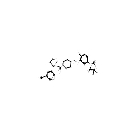 CC1(C)OC(=O)N(c2ccc(F)c(OC[C@H]3CC[C@H](C(=O)N4OCC[C@H]4c4cncc(C#N)c4)CC3)c2)C1=O